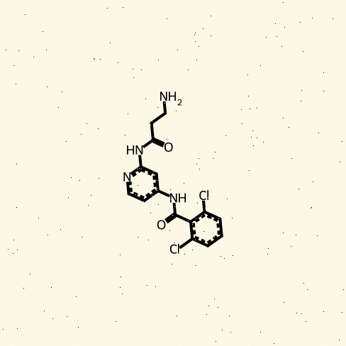 NCCC(=O)Nc1cc(NC(=O)c2c(Cl)cccc2Cl)ccn1